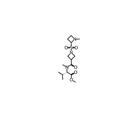 COC(=O)[C@H](C(C)C)N(C)C(=O)C1CN(S(=O)(=O)[C@H]2CCN2C)C1